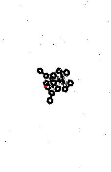 c1ccc(-c2ccc([Si](c3ccccc3)(c3ccccc3)c3cc(C4=NC(n5c6ccccc6c6ccccc65)=NC(n5c6ccccc6c6ccccc65)N4)cc([Si](c4ccccc4)(c4ccccc4)c4ccc(-c5ccccc5)cc4)c3)cc2)cc1